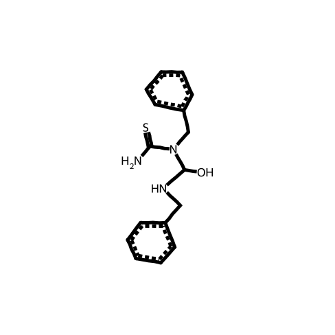 NC(=S)N(Cc1ccccc1)C(O)NCc1ccccc1